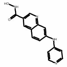 O=C(NO)c1cnc2cc(Nc3ccncc3)ccc2c1